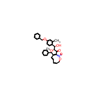 CCO[C@H](C(=O)/C1=C(Cc2ccccc2)/C=C/C=C\CO[N+]1=O)[C@H](O)c1ccc(OCc2ccccc2)cc1C